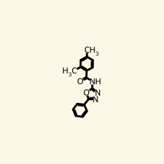 Cc1ccc(C(=O)Nc2nnc(-c3ccccc3)o2)c(C)c1